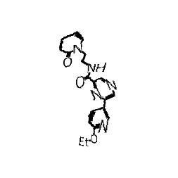 CCOc1ccc(-c2cncc(C(=O)NCCn3ccccc3=O)n2)cn1